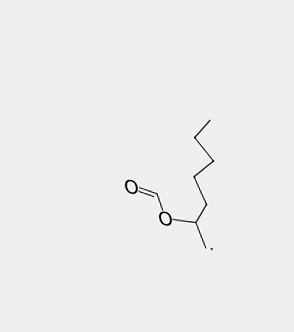 [CH2]C(CCCCC)OC=O